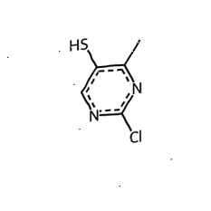 Cc1nc(Cl)ncc1S